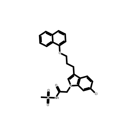 CS(=O)(=O)NC(=O)Cn1cc(CCCOc2cccc3ccccc23)c2ccc(Cl)cc21